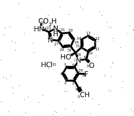 C#Cc1cccc(N2C(=O)c3ccccc3C2(O)c2ccc3[nH]c(NC(=O)O)nc3c2)c1F.Cl